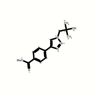 COC(=O)c1ccc(-c2cn(CC(C)(C)O)nn2)cc1